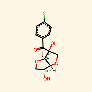 O=C(c1ccc(Cl)cc1)[C@]1(O)CO[C@H]2[C@H](O)CO[C@H]21